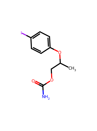 CC(COC(N)=O)Oc1ccc(I)cc1